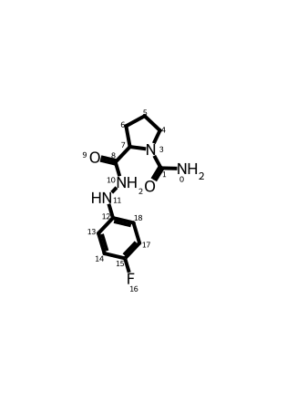 NC(=O)N1CCCC1C(=O)NNc1ccc(F)cc1